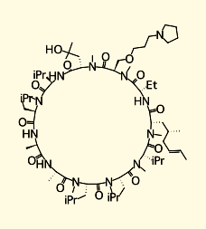 C/C=C/C[C@@H](C)C[C@H]1C(=O)N[C@@H](CC)C(=O)N(C)[C@H](COCCCN2CCCC2)C(=O)N(C)[C@@H](CC(C)(C)O)C(=O)N[C@H](C(C)C)C(=O)N(C)[C@H](CC(C)C)C(=O)N[C@H](C)C(=O)N[C@@H](C)C(=O)N(C)[C@@H](CC(C)C)C(=O)N(C)[C@@H](CC(C)C)C(=O)N(C)[C@@H](C(C)C)C(=O)N1C